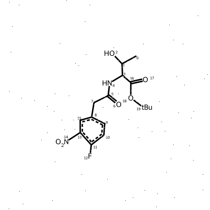 CC(O)C(NC(=O)Cc1ccc(F)c([N+](=O)[O-])c1)C(=O)OC(C)(C)C